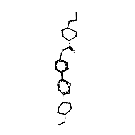 CCC[C@H]1CC[C@H](C(=O)Oc2ccc(-c3ncc([C@H]4CC[C@H](CC)CC4)cn3)cc2)CC1